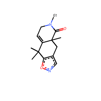 CCN1CC=C2C(C)(Cc3cnoc3C2(C)C)C1=O